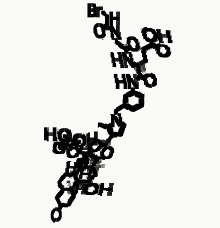 Cc1c([C@@H]2O[C@@H]3C[C@H]4[C@@H]5CCC6=CC(=O)C=C[C@]6(C)[C@H]5[C@@H](O)C[C@]4(C)[C@]3(C(=O)COP(=O)(O)O)O2)ccn1Cc1cccc(NC(=O)[C@H](CCC(=O)O)NC(=O)CNC(=O)CBr)c1